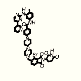 Cc1ccc(NC(=O)c2ccc(N3CCC(N4CCN(Cc5ccc6c(c5Br)C(=O)N(C5CCC(=O)NC5=O)C6=O)CC4)CC3)cc2)cc1Nc1nccc(-c2cccnc2)n1